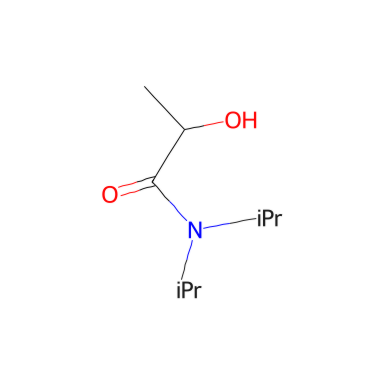 CC(O)C(=O)N(C(C)C)C(C)C